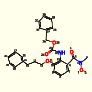 CON(C)C(=O)c1cccc(OCCCc2ccccc2)c1NC(=O)OCc1ccccc1